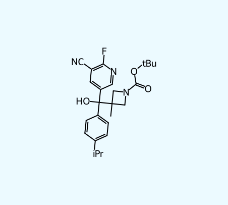 CC(C)c1ccc(C(O)(c2cnc(F)c(C#N)c2)C2(C)CN(C(=O)OC(C)(C)C)C2)cc1